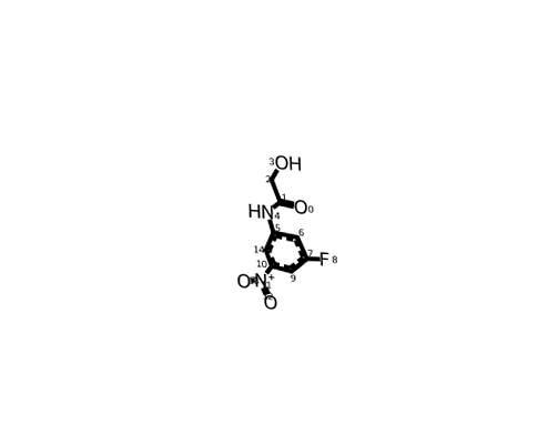 O=C(CO)Nc1cc(F)cc([N+](=O)[O-])c1